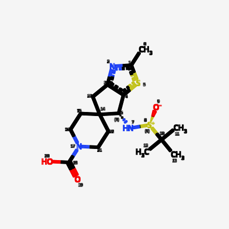 Cc1nc2c(s1)[C@H](N[S@@+]([O-])C(C)(C)C)C1(CCN(C(=O)O)CC1)C2